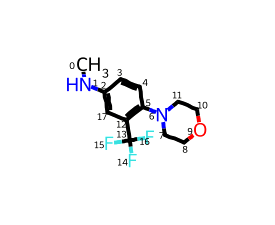 CNc1ccc(N2CCOCC2)c(C(F)(F)F)c1